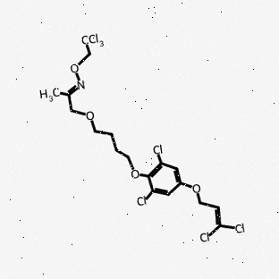 CC(COCCCCOc1c(Cl)cc(OCC=C(Cl)Cl)cc1Cl)=NOCC(Cl)(Cl)Cl